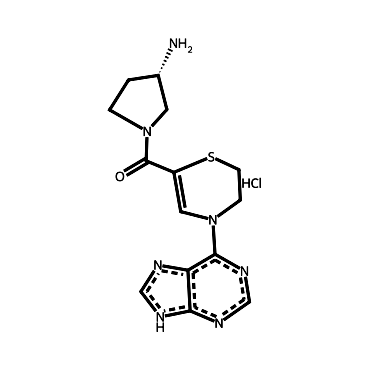 Cl.N[C@H]1CCN(C(=O)C2=CN(c3ncnc4[nH]cnc34)CCS2)C1